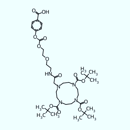 CC(C)(C)OC(=O)N1CCN(CC(=O)NCCOCCOC(=O)Oc2ccc(C(=O)O)cc2)CCN(C(=O)OC(C)(C)C)CCN(C(=O)OC(C)(C)C)CC1